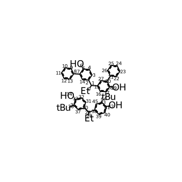 CCC(c1ccc(O)c(-c2ccccc2)c1)c1ccc(O)c(-c2ccccc2)c1.CCC(c1ccc(O)c(C(C)(C)C)c1)c1ccc(O)c(C(C)(C)C)c1